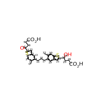 Cc1cc2sc(C(=O)CCC(=O)O)cc2cc1CCCc1cc2cc(C(O)CCC(=O)O)sc2cc1C